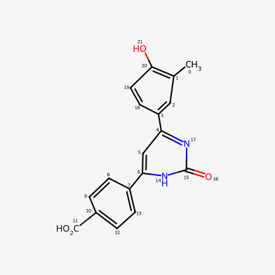 Cc1cc(-c2cc(-c3ccc(C(=O)O)cc3)[nH]c(=O)n2)ccc1O